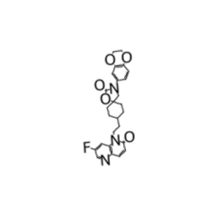 O=C1OC2(CCC(CCn3c(=O)ccc4ncc(F)cc43)CC2)CN1c1ccc2c(c1)OCCO2